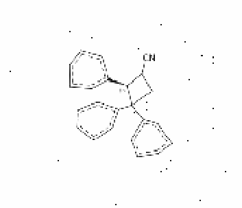 N#CC1CC(c2ccccc2)(c2ccccc2)[C@H]1c1ccccc1